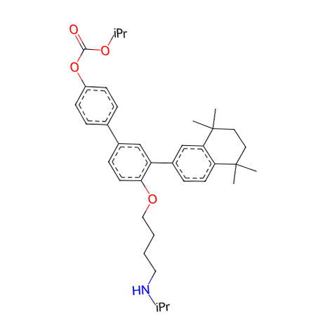 CC(C)NCCCCOc1ccc(-c2ccc(OC(=O)OC(C)C)cc2)cc1-c1ccc2c(c1)C(C)(C)CCC2(C)C